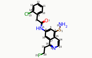 NSc1cc(NC(=O)Cc2ccccc2Cl)cc2c(CCF)nccc12